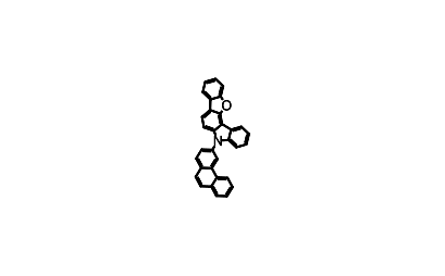 c1ccc2c(c1)ccc1ccc(-n3c4ccccc4c4c5oc6ccccc6c5ccc43)cc12